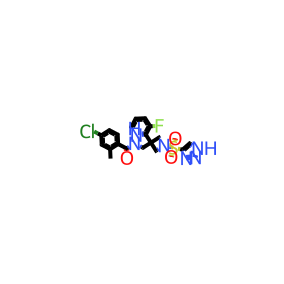 Cc1cc(Cl)ccc1C(=O)NCC1(c2ncccc2F)CN(S(=O)(=O)c2c[nH]nn2)C1